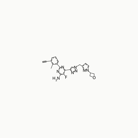 C#Cc1cccc(-c2nc(N)c(F)c(-c3cn(Cc4ccn(C5COC5)n4)nn3)n2)c1C